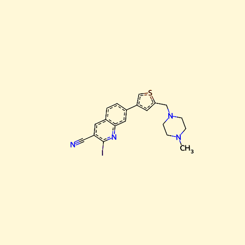 CN1CCN(Cc2cc(-c3ccc4cc(C#N)c(I)nc4c3)cs2)CC1